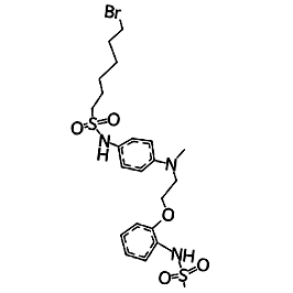 CN(CCOc1ccccc1NS(C)(=O)=O)c1ccc(NS(=O)(=O)CCCCCCBr)cc1